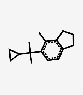 Cc1c(C(C)(C)C2CC2)ccc2c1CCC2